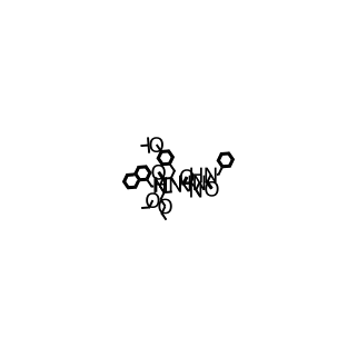 CCOC(OCC)C(C)N(Cc1cccc2ccccc12)C(=O)C(Cc1ccc(OC(C)(C)C)cc1)NC(=O)CN(C)NC(=O)NCc1ccccc1